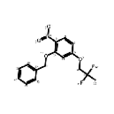 O=[N+]([O-])c1ccc(OCC(F)(F)F)cc1OCc1ccccc1